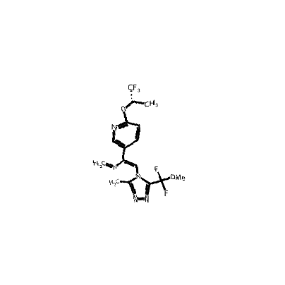 C=N/C(=C\n1c(C)nnc1C(F)(F)OC)c1ccc(O[C@@H](C)C(F)(F)F)nc1